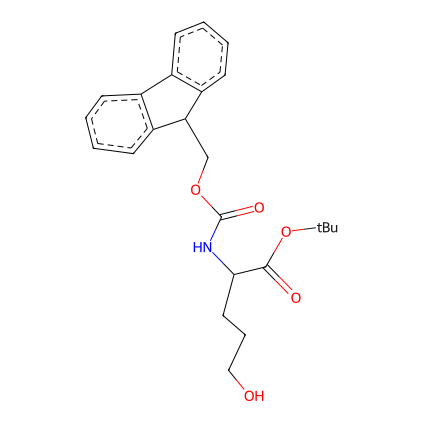 CC(C)(C)OC(=O)C(CCCO)NC(=O)OCC1c2ccccc2-c2ccccc21